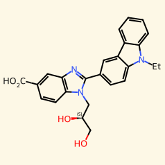 CCn1c2ccccc2c2cc(-c3nc4cc(C(=O)O)ccc4n3C[C@H](O)CO)ccc21